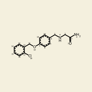 NC(=O)CNCc1ccc(OCc2ccccc2Cl)cc1